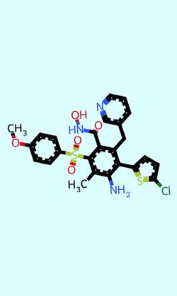 COc1ccc(S(=O)(=O)c2c(C)c(N)c(-c3ccc(Cl)s3)c(Cc3cccnc3)c2C(=O)NO)cc1